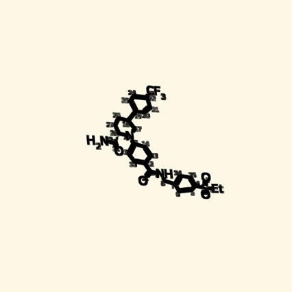 CCS(=O)(=O)c1ccc(CNC(=O)c2ccc(N3CC(c4ccc(C(F)(F)F)cc4)CC[C@H]3C(N)=O)cc2)cc1